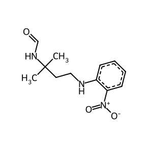 CC(C)(CCNc1ccccc1[N+](=O)[O-])NC=O